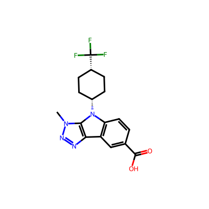 Cn1nnc2c3cc(C(=O)O)ccc3n([C@H]3CC[C@@H](C(F)(F)F)CC3)c21